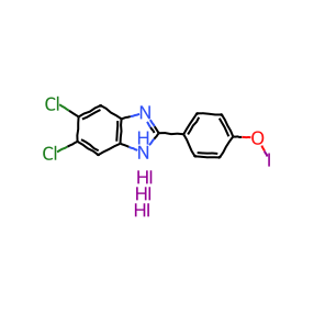 Clc1cc2nc(-c3ccc(OI)cc3)[nH]c2cc1Cl.I.I.I